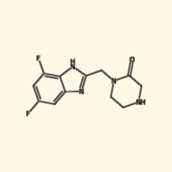 O=C1CNCCN1Cc1nc2cc(F)cc(F)c2[nH]1